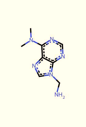 CN(C)c1ncnc2c1ncn2CN